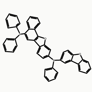 c1ccc(N(c2ccc3c(c2)oc2c4ccccc4c(N(c4ccccc4)c4ccccc4)cc32)c2ccc3oc4ccccc4c3c2)cc1